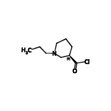 CCCN1CCC[C@@H](C(=O)Cl)C1